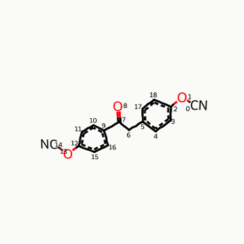 N#COc1ccc(CC(=O)c2ccc(OC#N)cc2)cc1